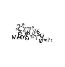 CCCC(=O)Oc1cc2c(s1)CCN([C@H](C(=O)OC)c1ccccc1F)C2